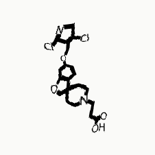 O=C(O)CCN1CCC2(CC1)COc1cc(OCc3c(Cl)ccnc3Cl)ccc12